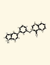 O=c1c2ncccc2ncn1Cc1cccc(-c2cnc3[nH]ccc3c2)c1